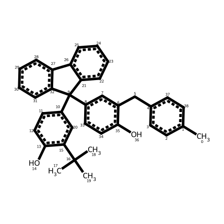 Cc1ccc(Cc2cc(C3(c4ccc(O)c(C(C)(C)C)c4)c4ccccc4-c4ccccc43)ccc2O)cc1